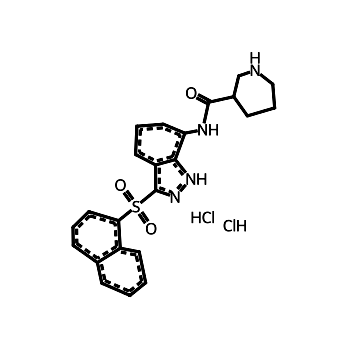 Cl.Cl.O=C(Nc1cccc2c(S(=O)(=O)c3cccc4ccccc34)n[nH]c12)C1CCCNC1